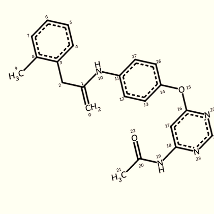 C=C(Cc1ccccc1C)Nc1ccc(Oc2cc(NC(C)=O)ncn2)cc1